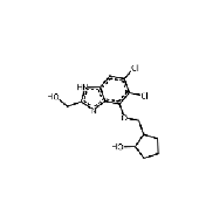 OCc1nc2c(OCC3CCCC3O)c(Cl)c(Cl)cc2[nH]1